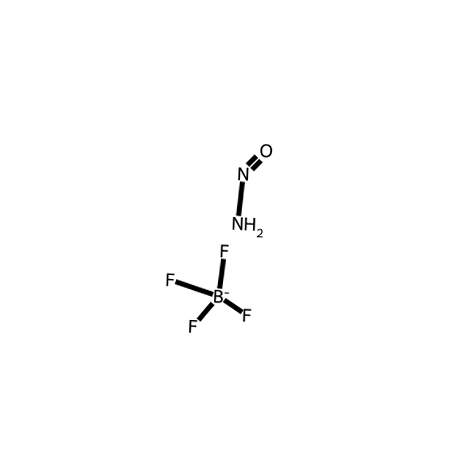 F[B-](F)(F)F.NN=O